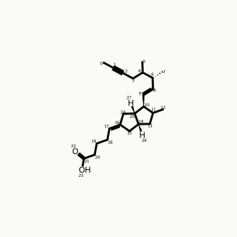 CC#CCC(C)[C@H](C)/C=C/[C@H]1C(C)C[C@@H]2C/C(=C\CCCC(=O)O)C[C@@H]21